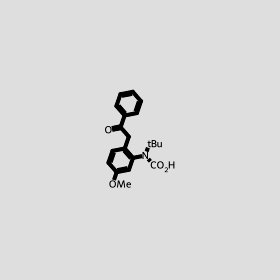 COc1ccc(CC(=O)c2ccccc2)c(N(C(=O)O)C(C)(C)C)c1